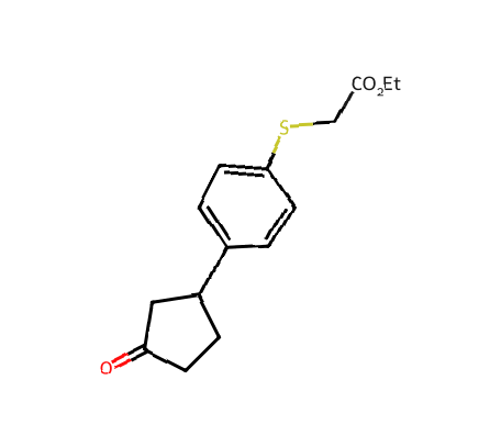 CCOC(=O)CSc1ccc(C2CCC(=O)C2)cc1